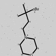 CCCCC(C)(C)CCN1CCOCC1